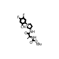 C[C@H](NC(=O)OC(C)(C)C)C(=O)N[C@H]1CCN(c2cc(F)c(F)cc2C#N)C1